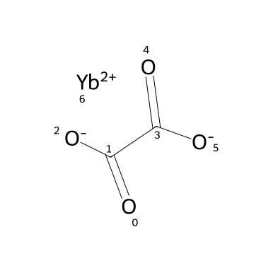 O=C([O-])C(=O)[O-].[Yb+2]